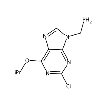 CC(C)Oc1nc(Cl)nc2c1ncn2CP